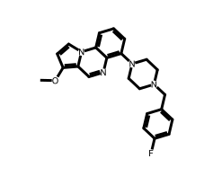 COc1ccn2c1cnc1c(N3CCN(Cc4ccc(F)cc4)CC3)cccc12